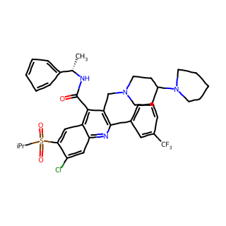 CC(C)S(=O)(=O)c1cc2c(C(=O)N[C@@H](C)c3ccccc3)c(CN3CCC(N4CCCCC4)CC3)c(-c3cccc(C(F)(F)F)c3)nc2cc1Cl